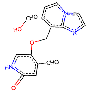 O=CO.O=Cc1cc(=O)[nH]cc1OCc1cccn2ccnc12